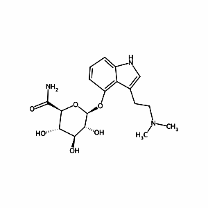 CN(C)CCc1c[nH]c2cccc(O[C@@H]3O[C@H](C(N)=O)[C@@H](O)[C@H](O)[C@H]3O)c12